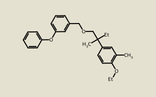 CCOc1ccc(C(C)(CC)COCc2cccc(Oc3ccccc3)c2)cc1C